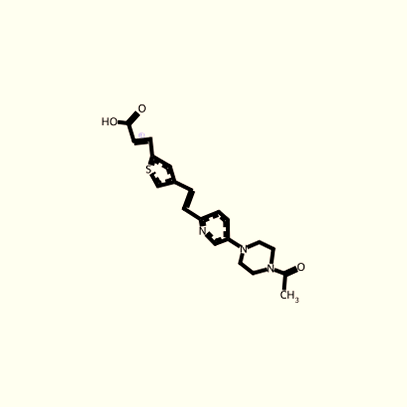 CC(=O)N1CCN(c2ccc(C=Cc3csc(/C=C/C(=O)O)c3)nc2)CC1